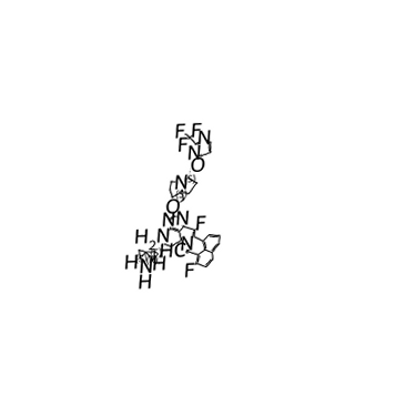 C#Cc1c(F)ccc2cccc(-c3nc(CC[C@@H]4[C@H]5N[C@H]6CC645)c4c(N)nc(OC[C@@]56CCCN5[C@H](COc5ccnc(C(F)(F)F)n5)CC6)nc4c3F)c12